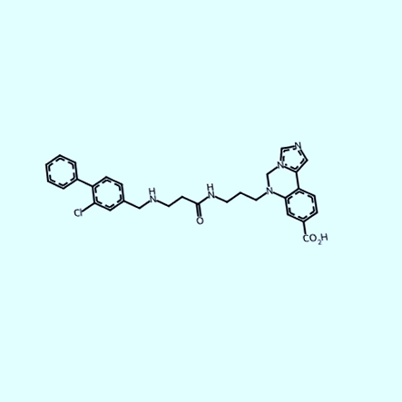 O=C(CCNCc1ccc(-c2ccccc2)c(Cl)c1)NCCCN1Cn2cncc2-c2ccc(C(=O)O)cc21